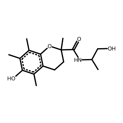 Cc1c(C)c2c(c(C)c1O)CCC(C)(C(=O)NC(C)CO)O2